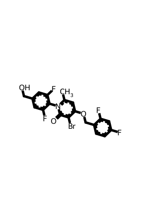 Cc1cc(OCc2ccc(F)cc2F)c(Br)c(=O)n1-c1c(F)cc(CO)cc1F